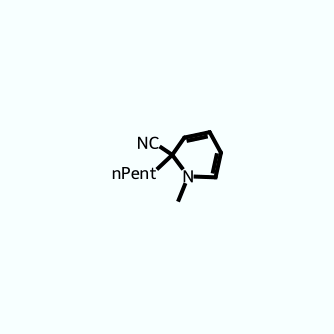 CCCCCC1(C#N)C=CC=CN1C